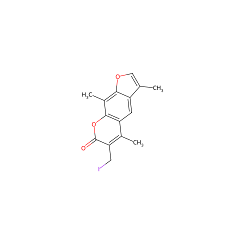 Cc1coc2c(C)c3oc(=O)c(CI)c(C)c3cc12